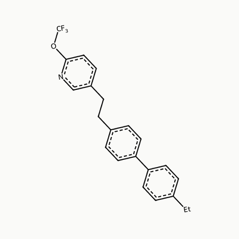 CCc1ccc(-c2ccc(CCc3ccc(OC(F)(F)F)nc3)cc2)cc1